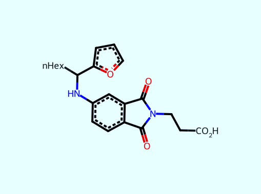 CCCCCCC(Nc1ccc2c(c1)C(=O)N(CCC(=O)O)C2=O)c1ccco1